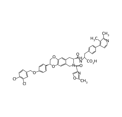 Cc1nc(C(=O)N2Cc3cc4c(cc3C[C@H]2C(=O)NC(Cc2ccc(-c3ccnc(C)c3C)cc2)C(=O)O)OC[C@H](c2ccc(OCc3ccc(Cl)c(Cl)c3)cc2)O4)co1